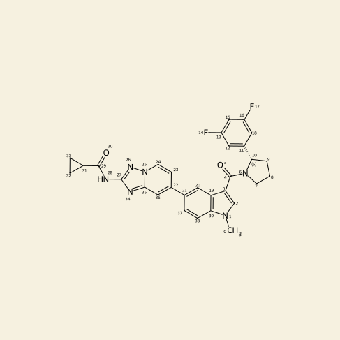 Cn1cc(C(=O)N2CCC[C@H]2c2cc(F)cc(F)c2)c2cc(-c3ccn4nc(NC(=O)C5CC5)nc4c3)ccc21